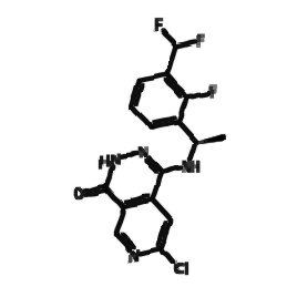 C[C@@H](Nc1n[nH]c(=O)c2cnc(Cl)cc12)c1cccc(C(F)F)c1F